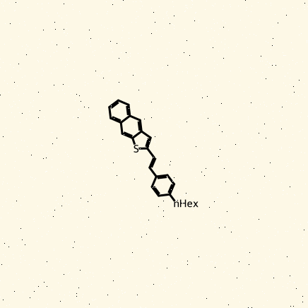 CCCCCCc1ccc(C=Cc2cc3cc4ccccc4cc3s2)cc1